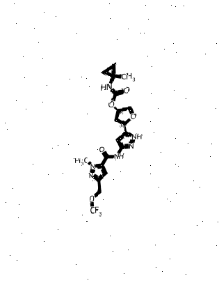 Cn1nc(COC(F)(F)F)cc1C(=O)Nc1cc([C@H]2C[C@@H](OC(=O)NC3(C)CC3)CO2)[nH]n1